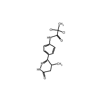 CC1CC(=O)NN=C1c1ccc(NC(=O)C(C)(Cl)Cl)cc1